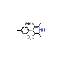 CSC1=C(C)NC(C)=C(C(=O)O)C1c1ccc(C)cc1